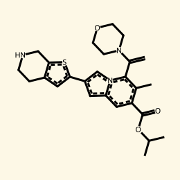 C=C(c1c(C)c(C(=O)OC(C)C)cc2cc(-c3cc4c(s3)CNCC4)cn12)N1CCOCC1